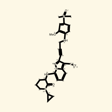 COc1cc(P(C)(C)=O)ccc1NCC#Cc1nn2c(NC3CCCN(C4CC4)C3=O)cccc2c1SC(F)(F)F